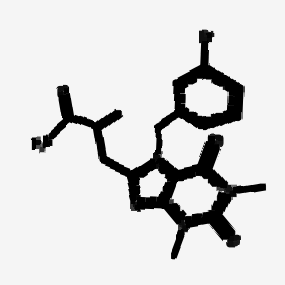 CC(Cc1nc2c(c(=O)n(C)c(=O)n2C)n1Cc1cccc(Br)c1)C(N)=O